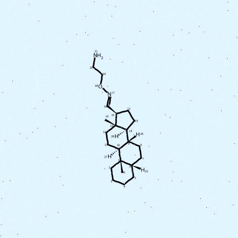 C[C@]12CCCC[C@H]1CC[C@@H]1[C@@H]2CC[C@]2(C)[C@@H](C=NOCCN)CC[C@@H]12